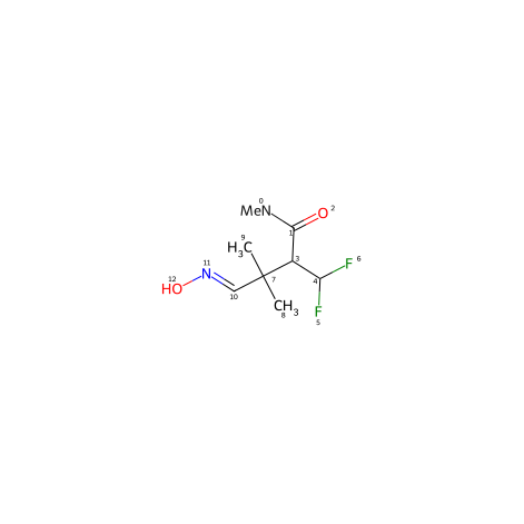 CNC(=O)C(C(F)F)C(C)(C)C=NO